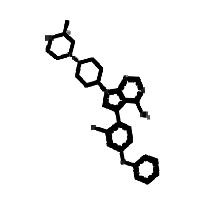 C[C@H]1CN([C@H]2CC[C@H](n3cc(-c4ccc(Oc5ccccc5)cc4F)c4c(N)ncnc43)CC2)CCN1